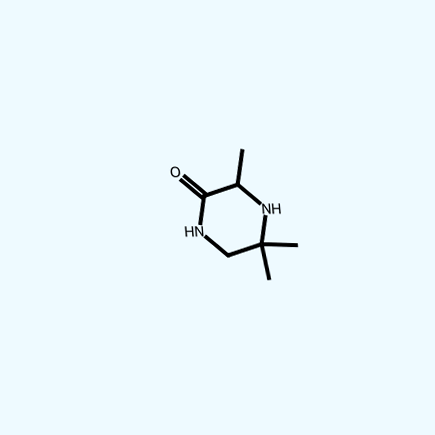 CC1NC(C)(C)CNC1=O